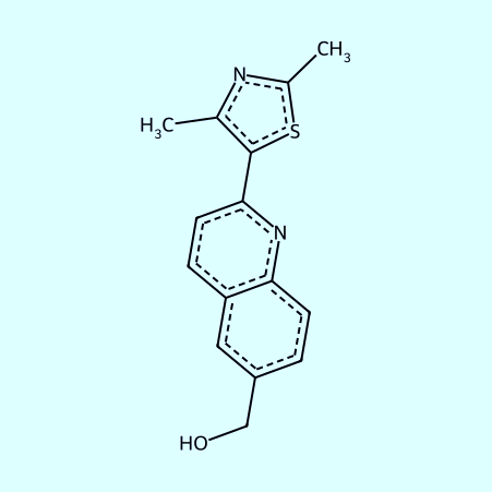 Cc1nc(C)c(-c2ccc3cc(CO)ccc3n2)s1